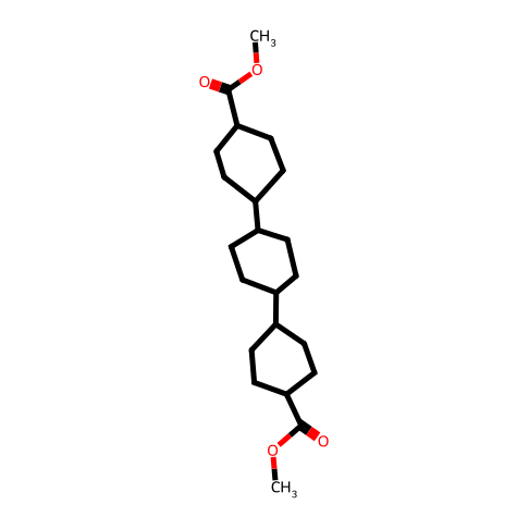 COC(=O)C1CCC(C2CCC(C3CCC(C(=O)OC)CC3)CC2)CC1